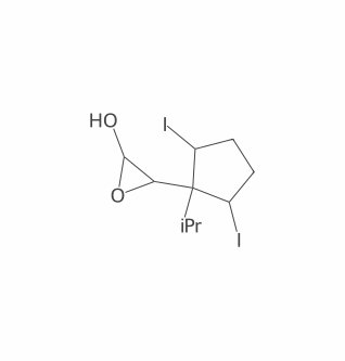 CC(C)C1(C2OC2O)C(I)CCC1I